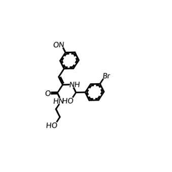 O=Nc1cccc(/C=C(\NC(O)c2cccc(Br)c2)C(=O)NCCO)c1